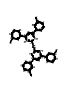 Cc1cccc(-c2cc(-c3cccc(C)c3)n[c]([Ir+][c]3nc(-c4cccc(C)c4)cc(-c4cccc(C)c4)n3)n2)c1